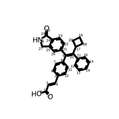 O=C(O)/C=C/c1ccc(/C(=C(\c2ccccc2)C2CCC2)c2ccc3c(c2)CNC3=O)cc1